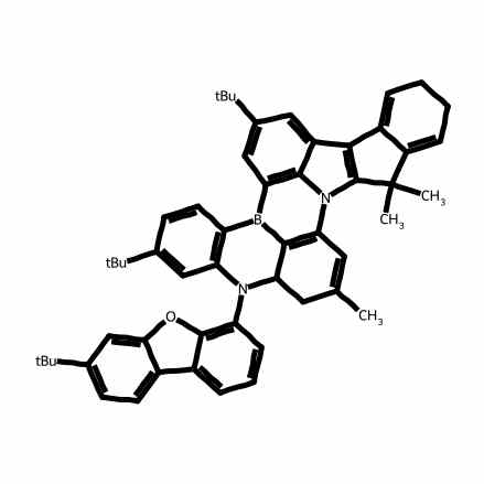 CC1=CC2=C3B(c4ccc(C(C)(C)C)cc4N(c4cccc5c4oc4cc(C(C)(C)C)ccc45)C3C1)c1cc(C(C)(C)C)cc3c4c(n2c13)C(C)(C)C1=CCCC=C14